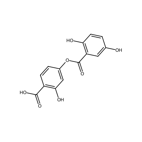 O=C(O)c1ccc(OC(=O)c2cc(O)ccc2O)cc1O